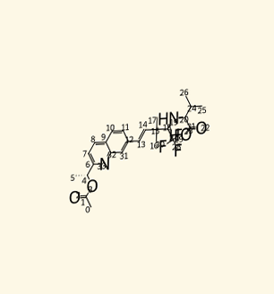 CC(=O)O[C@H](C)c1ccc2ccc(/C=C/C(C)(C)[C@@H](N[C@H](C(=O)O)C(C)C)C(F)(F)F)cc2n1